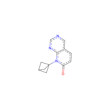 O=c1ccc2cncnc2n1C12CC(C1)C2